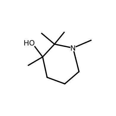 CN1CCCC(C)(O)C1(C)C